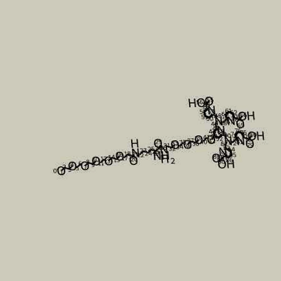 COCCOCCOCCOCCOCCOCCC(=O)NCCCCC(N)C(=O)NCCOCCOCCOCCOc1cc(CN(Cc2cccc(C(=O)O)n2)Cc2cccc(C(=O)O)n2)nc(CN(Cc2cccc(C(=O)O)n2)Cc2cccc(C(=O)O)n2)c1